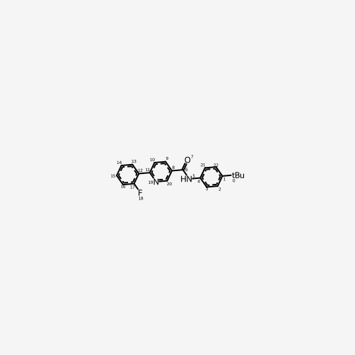 CC(C)(C)c1ccc(NC(=O)c2ccc(-c3ccccc3F)nc2)cc1